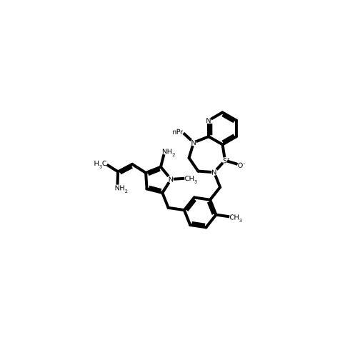 CCCN1CCN(Cc2cc(Cc3cc(/C=C(/C)N)c(N)n3C)ccc2C)[S+]([O-])c2cccnc21